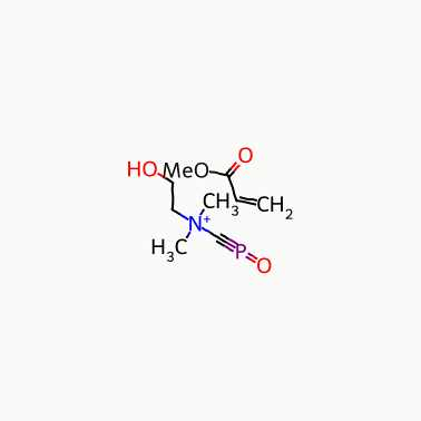 C=CC(=O)OC.C[N+](C)(C#P=O)CCO